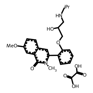 COc1ccc2cc(-c3ccccc3OCC(O)CNC(C)C)n(C)c(=O)c2c1.O=C(O)C(=O)O